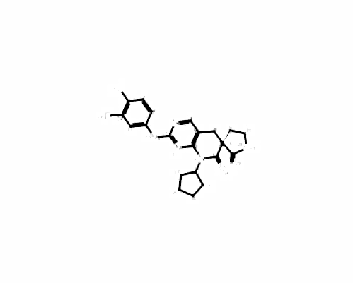 CC(C)c1ccc(Nc2ncc3c(n2)N(C2CCCC2)C(=O)[C@]2(CCNC2=O)C3)cc1F